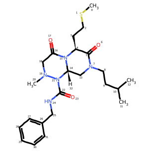 CSCC[C@H]1C(=O)N(CCC(C)C)C[C@H]2N1C(=O)CN(C)N2C(=O)NCc1ccccc1